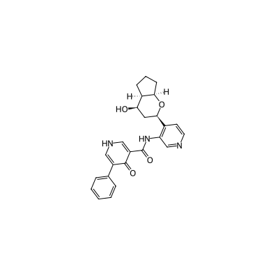 O=C(Nc1cnccc1[C@H]1C[C@@H](O)[C@H]2CCC[C@H]2O1)c1c[nH]cc(-c2ccccc2)c1=O